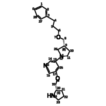 c1ccc(CCCOC[C@@H]2CCN(c3cncc(OC[C@@H]4CCCN4)c3)C2)cc1